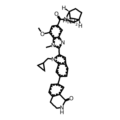 COc1cc(C(=O)N2C[C@H]3CC[C@@H]2[C@@H]3N)cc2nc(-c3cc4ccc(-c5ccc6c(c5)C(=O)NCC6)cc4n3CC3CC3)n(C)c12